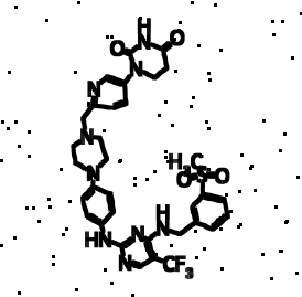 CS(=O)(=O)c1cccc(CNc2nc(Nc3ccc(N4CCN(Cc5ccc(N6CCC(=O)NC6=O)cn5)CC4)cc3)ncc2C(F)(F)F)c1